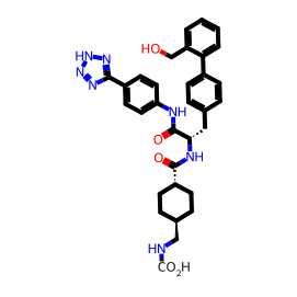 O=C(O)NC[C@H]1CC[C@H](C(=O)N[C@@H](Cc2ccc(-c3ccccc3CO)cc2)C(=O)Nc2ccc(-c3nn[nH]n3)cc2)CC1